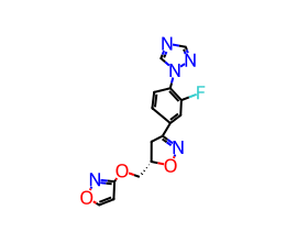 Fc1cc(C2=NO[C@H](COc3ccon3)C2)ccc1-n1cncn1